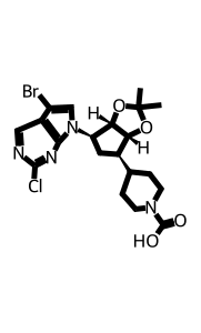 CC1(C)O[C@@H]2[C@H](O1)[C@@H](C1CCN(C(=O)O)CC1)C[C@H]2n1cc(Br)c2cnc(Cl)nc21